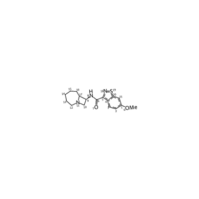 COc1ccc2c(C(=O)N[C@H]3CN4CCCCCC34)nsc2c1